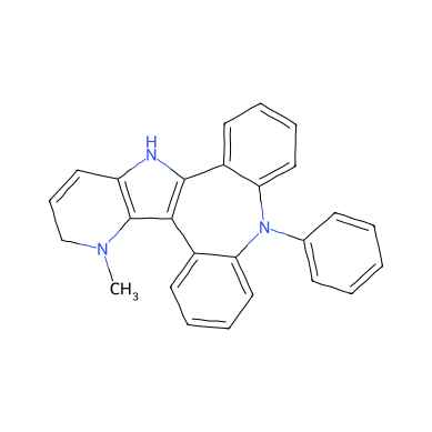 CN1CC=Cc2[nH]c3c(c21)-c1ccccc1N(c1ccccc1)c1ccccc1-3